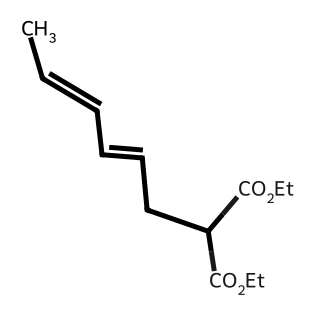 CC=CC=CCC(C(=O)OCC)C(=O)OCC